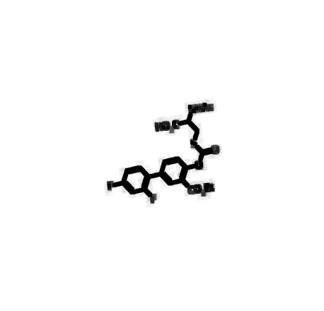 CCOC(=O)c1cc(-c2ccc(F)cc2F)ccc1OC(=O)SCC(NC(C)=O)C(=O)O